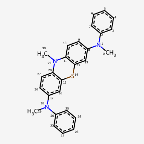 CN(c1ccccc1)c1ccc2c(c1)Sc1cc(N(C)c3ccccc3)ccc1N2C